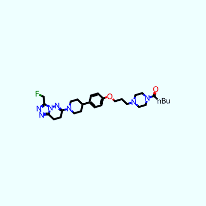 CCCCC(=O)N1CCN(CCCOc2ccc(C3CCN(C4=Nn5c(CF)nnc5CC4)CC3)cc2)CC1